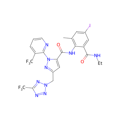 CCNC(=O)c1cc(I)cc(C)c1NC(=O)c1cc(Cn2nnc(C(F)(F)F)n2)nn1-c1ncccc1C(F)(F)F